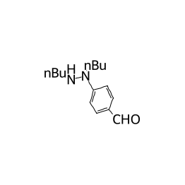 CCCCNN(CCCC)c1ccc(C=O)cc1